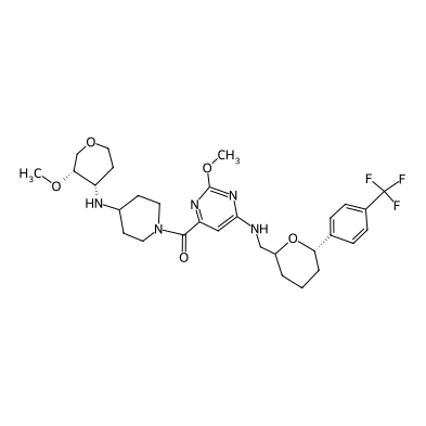 COc1nc(NCC2CCC[C@@H](c3ccc(C(F)(F)F)cc3)O2)cc(C(=O)N2CCC(N[C@H]3CCOC[C@H]3OC)CC2)n1